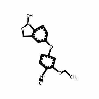 [C-]#[N+]c1ccc(Oc2ccc3c(c2)COB3O)cc1OCC